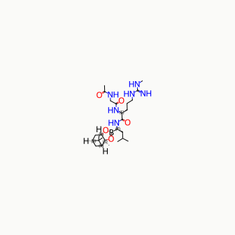 CNC(=N)NCCC[C@H](NC(=O)CNC(C)=O)C(=O)N[C@@H](CC(C)C)B1O[C@@H]2C[C@@H]3C[C@@H](C3(C)C)[C@]2(C)O1